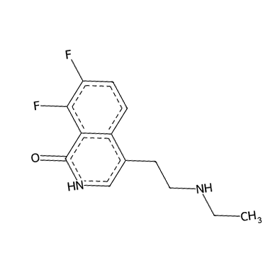 CCNCCc1c[nH]c(=O)c2c(F)c(F)ccc12